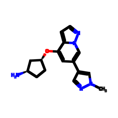 Cn1cc(-c2cc(O[C@@H]3CC[C@H](N)C3)c3ccnn3c2)cn1